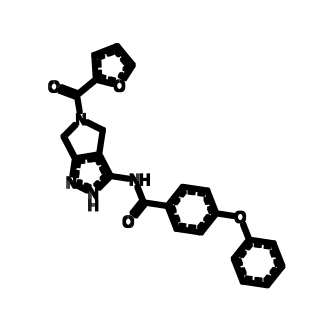 O=C(Nc1[nH]nc2c1CN(C(=O)c1ccco1)C2)c1ccc(Oc2ccccc2)cc1